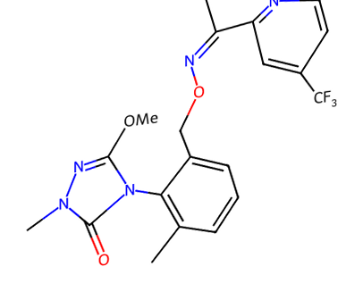 COc1nn(C)c(=O)n1-c1c(C)cccc1CO/N=C(/C)c1cc(C(F)(F)F)ccn1